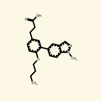 CCCCOc1ccc(CCC(=O)O)cc1-c1ccc2c(cnn2C)c1